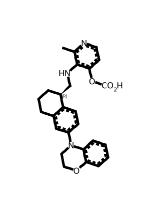 Cc1nccc(OC(=O)O)c1NC[C@@H]1CCCc2cc(N3CCOc4ccccc43)ccc21